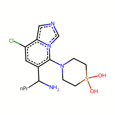 CCCC(N)c1cc(Cl)c2cncn2c1N1CCS(O)(O)CC1